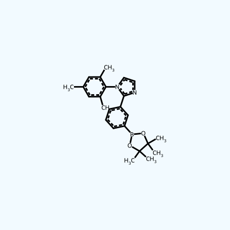 Cc1cc(C)c(-n2ccnc2-c2cccc(B3OC(C)(C)C(C)(C)O3)c2)c(C)c1